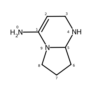 NC1=CCNC2CCCN12